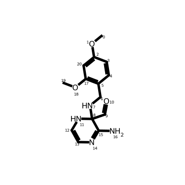 COc1ccc(CNC2(C=O)NC=CN=C2N)c(OC)c1